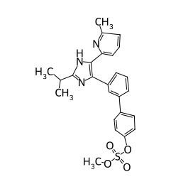 COS(=O)(=O)Oc1ccc(-c2cccc(-c3nc(C(C)C)[nH]c3-c3cccc(C)n3)c2)cc1